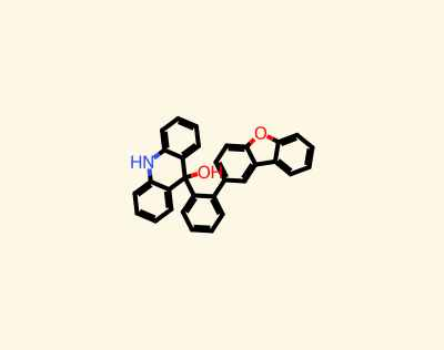 OC1(c2ccccc2-c2ccc3oc4ccccc4c3c2)c2ccccc2Nc2ccccc21